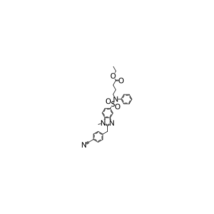 CCOC(=O)CCCN(c1ccccc1)S(=O)(=O)c1ccc2c(c1)nc(Cc1ccc(C#N)cc1)n2C